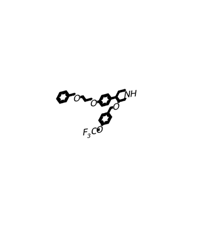 FC(F)(F)Oc1ccc(COC2CNCCC2c2ccc(OCCCOCc3ccccc3)cc2)cc1